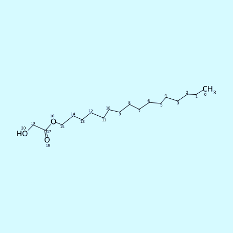 CCCCCCCCCCCCCCCCOC(=O)CO